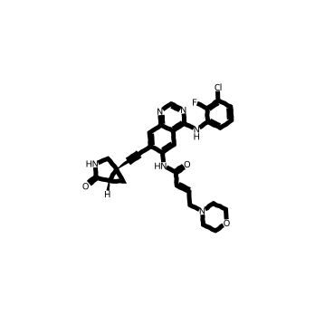 O=C(/C=C/CN1CCOCC1)Nc1cc2c(Nc3cccc(Cl)c3F)ncnc2cc1C#C[C@]12CNC(=O)[C@H]1C2